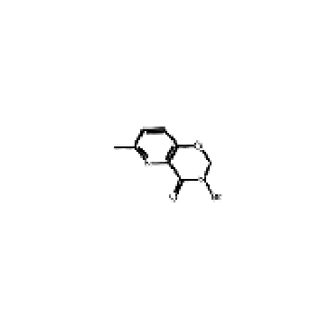 Cc1ccc2c(n1)C(=O)N(Br)CO2